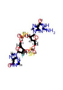 Nc1nc2c(ncn2[C@@H]2O[C@@H]3CO[P@@](=O)(S)O[C@H]4[C@H](F)[C@H](n5cnc6c(=O)[nH]cnc65)O[C@@H]4CO[P@@](=O)(S)O[C@@H]2C3)c(=O)[nH]1